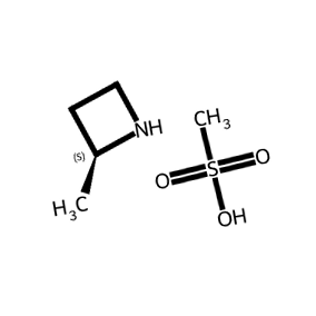 CS(=O)(=O)O.C[C@H]1CCN1